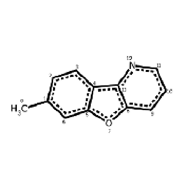 Cc1ccc2c(c1)oc1cccnc12